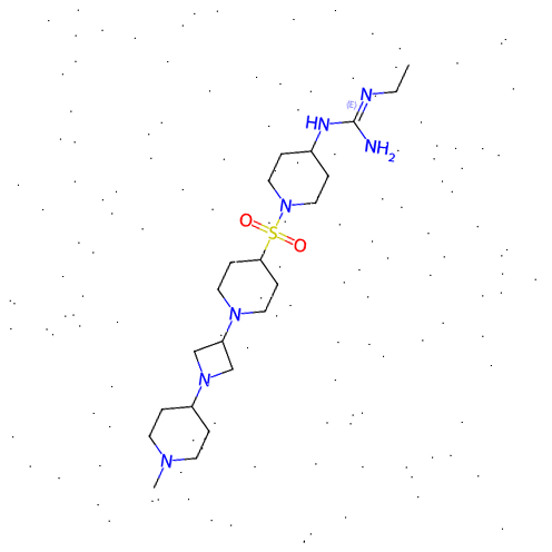 CC/N=C(\N)NC1CCN(S(=O)(=O)C2CCN(C3CN(C4CCN(C)CC4)C3)CC2)CC1